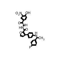 CC(Nc1ccc(-c2ccoc2C(=O)NNC(=O)c2ccc(O)c([N+](=O)[O-])c2)cc1)c1ccc(F)cc1